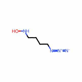 [N-]=[N+]=NCCCCNO